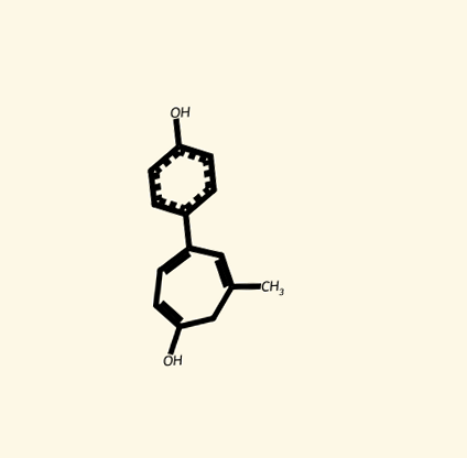 CC1=CC(c2ccc(O)cc2)=CC=C(O)C1